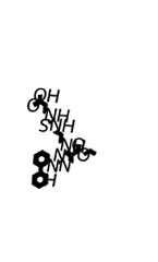 CCOC(=O)c1cnc(Nc2ccccc2-c2ccccc2)nc1NCCCNC(=S)NCCC(=O)O